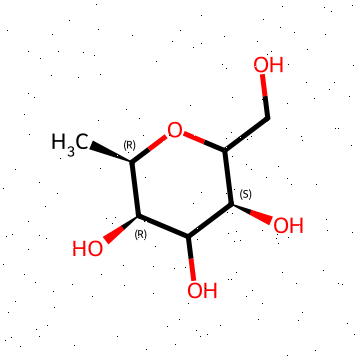 C[C@H]1OC(CO)[C@@H](O)C(O)[C@H]1O